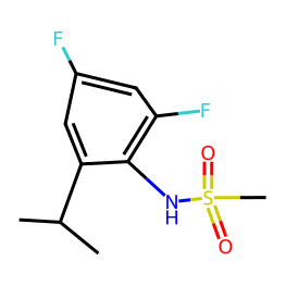 CC(C)c1cc(F)cc(F)c1NS(C)(=O)=O